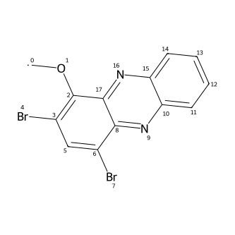 [CH2]Oc1c(Br)cc(Br)c2nc3ccccc3nc12